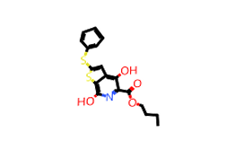 CCCCOC(=O)c1nc(O)c2sc(Sc3ccccc3)cc2c1O